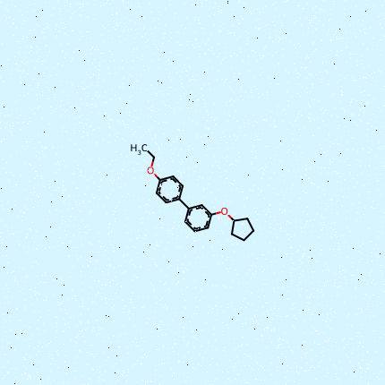 CCOc1ccc(-c2cccc(OC3CCCC3)c2)cc1